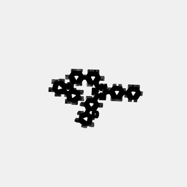 c1ccc(-c2ccc(-c3nc(-c4cccc(-c5cccc(-n6c7ccccc7c7ccccc76)c5)c4)nc(-c4ccc5c(c4)oc4ccccc45)n3)cc2)cc1